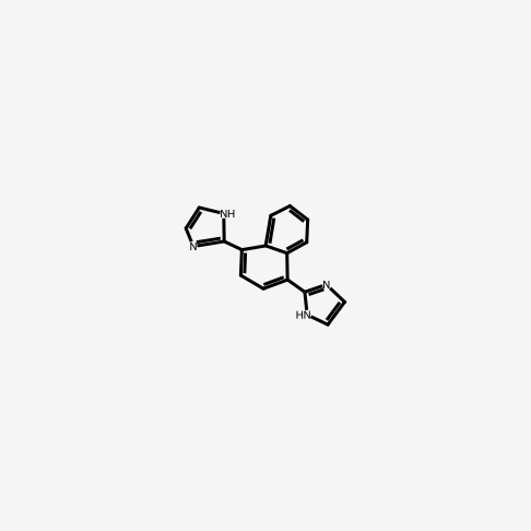 c1ccc2c(-c3ncc[nH]3)ccc(-c3ncc[nH]3)c2c1